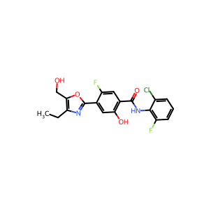 CCc1nc(-c2cc(O)c(C(=O)Nc3c(F)cccc3Cl)cc2F)oc1CO